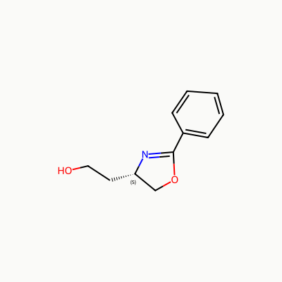 OCC[C@H]1COC(c2ccccc2)=N1